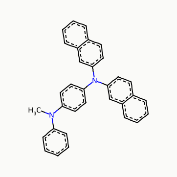 CN(c1ccccc1)c1ccc(N(c2ccc3ccccc3c2)c2ccc3ccccc3c2)cc1